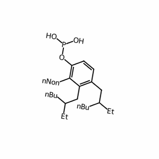 CCCCCCCCCc1c(OP(O)O)ccc(CC(CC)CCCC)c1CC(CC)CCCC